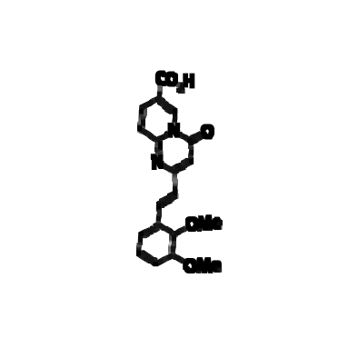 COc1cccc(C=Cc2cc(=O)n3cc(C(=O)O)ccc3n2)c1OC